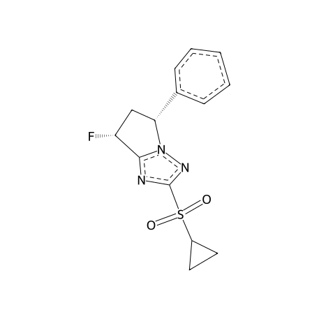 O=S(=O)(c1nc2n(n1)[C@@H](c1ccccc1)C[C@H]2F)C1CC1